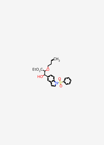 C=CCCOC(C(=O)OCC)C(O)c1ccc2c(ccn2S(=O)(=O)c2ccccc2)c1